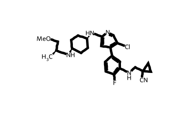 COC[C@H](C)N[C@H]1CC[C@H](Nc2cc(-c3ccc(F)c(NCC4(C#N)CC4)c3)c(Cl)cn2)CC1